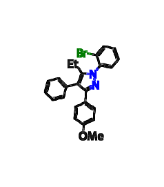 CCc1c(-c2ccccc2)c(-c2ccc(OC)cc2)nn1-c1ccccc1Br